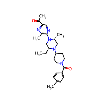 CC[C@H]1CN(c2ncc(C(C)=O)nc2C)[C@H](C)CN1C1CCN(C(=O)c2ccc(C)cc2)CC1